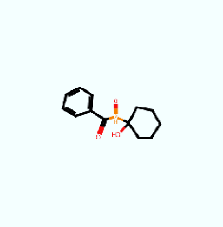 O=C(c1ccccc1)[PH](=O)C1(O)CCCCC1